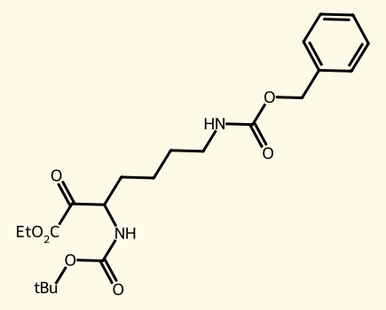 CCOC(=O)C(=O)C(CCCCNC(=O)OCc1ccccc1)NC(=O)OC(C)(C)C